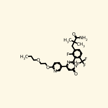 CCCOCCOc1ccc(-c2cc(=O)[nH]c(-c3c(C(F)(F)F)ccc(CC(C)(C)C(N)=O)c3F)n2)cn1